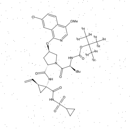 [2H]C([2H])([2H])C(OC(=O)N[C@H](C(=O)N1C[C@H](Oc2ncc(OC)c3ccc(Cl)cc23)C[C@H]1C(=O)N[C@]1(C(=O)NS(=O)(=O)C2CC2)C[C@H]1C=C)C(C)(C)C)(C([2H])([2H])[2H])C([2H])([2H])[2H]